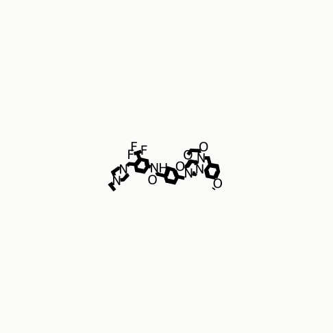 CCN1CCN(Cc2ccc(NC(=O)c3ccc(C)c(Oc4ncnc5c4OCC(=O)N5Cc4ccc(OC)cc4)c3)cc2C(F)(F)F)CC1